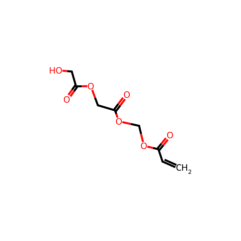 C=CC(=O)OCOC(=O)COC(=O)CO